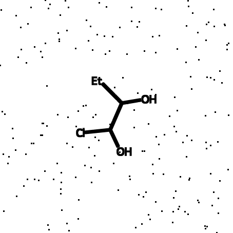 CCC(O)C(O)Cl